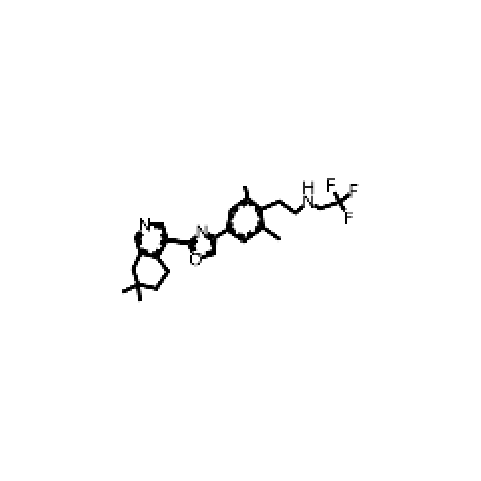 Cc1cc(-c2coc(-c3cncc4c3CCC(C)(C)C4)n2)cc(C)c1CCNCC(F)(F)F